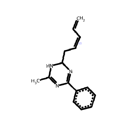 C=C/C=C\CC1N=C(c2ccccc2)N=C(C)N1